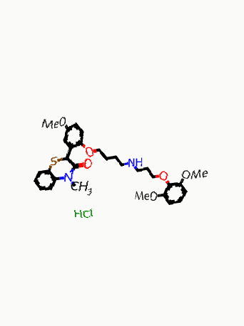 COc1ccc(OCCCCNCCCOc2c(OC)cccc2OC)c(C2Sc3ccccc3N(C)C2=O)c1.Cl